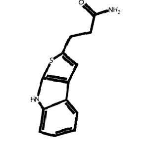 NC(=O)CCc1cc2c([nH]c3ccccc32)s1